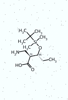 CC[C@@H](O[Si](C)(C)C(C)(C)C)[C@H](CN)C(=O)O